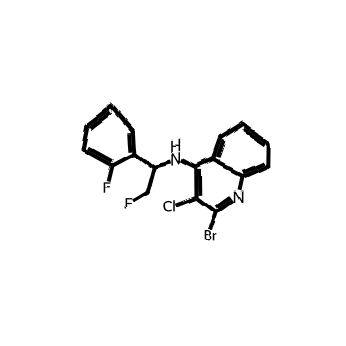 FCC(Nc1c(Cl)c(Br)nc2ccccc12)c1ccccc1F